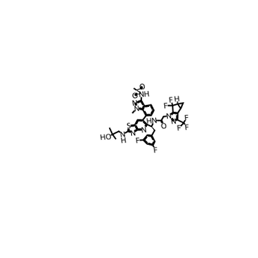 Cn1nc(NS(C)(=O)=O)c2cccc(-c3cc4sc(NCC(C)(C)O)nc4nc3[C@H](Cc3cc(F)cc(F)c3)NC(=O)Cn3nc(C(F)(F)F)c4c3C(F)(F)[C@@H]3CC43)c21